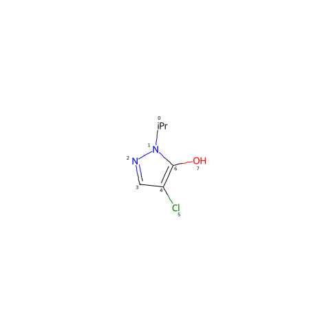 CC(C)n1ncc(Cl)c1O